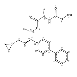 C[C@H](NC(=O)OC(C)(C)C)C(=O)O[C@@H](C)[C@H](OCC1CC1)c1ccc(-c2ccccc2)cc1